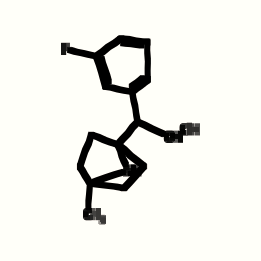 CC12CCC(C(O)c3cccc(F)c3)(CC1)N2.Cl